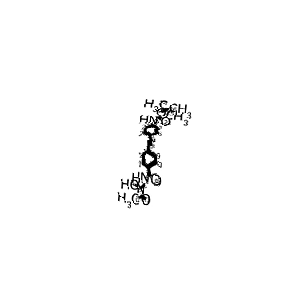 CC(=O)N(O)CNC(=O)c1ccc(C#Cc2ccc(NC(=O)OC(C)(C)C)cc2)cc1